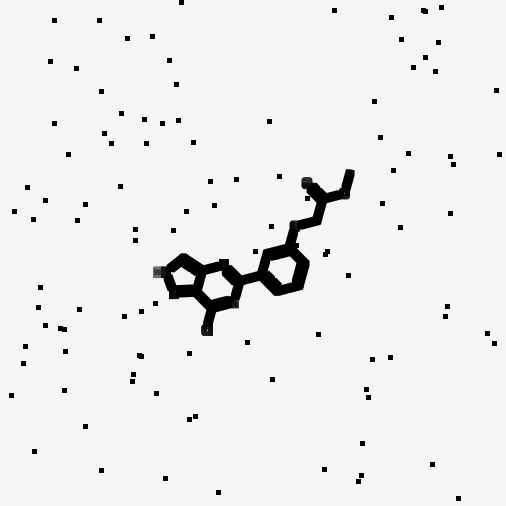 COC(=O)COc1cccc(-c2nc(Cl)c3n[nH]cc3n2)c1